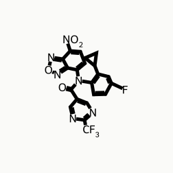 O=C(c1cnc(C(F)(F)F)nc1)N(c1ccc(F)cc1C1CC1)c1ccc([N+](=O)[O-])c2nonc12